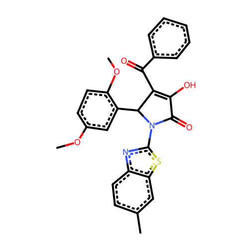 COc1ccc(OC)c(C2C(C(=O)c3ccccc3)=C(O)C(=O)N2c2nc3ccc(C)cc3s2)c1